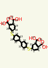 O=C(O)c1ccc(Sc2ccc(-c3ccc(Sc4ccc(C(=O)O)c(C(=O)O)c4)cc3)cc2)cc1C(=O)O